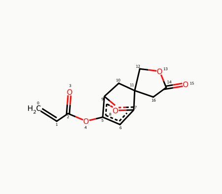 C=CC(=O)Oc1cc2oc1CC21COC(=O)C1